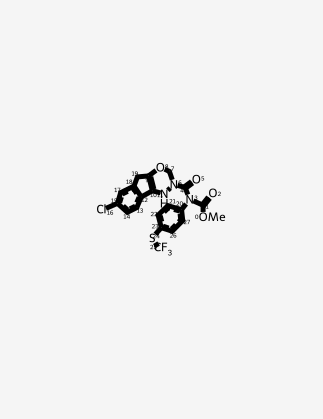 COC(=O)N(C(=O)N1COC2=C(N1)c1ccc(Cl)cc1C2)c1ccc(SC(F)(F)F)cc1